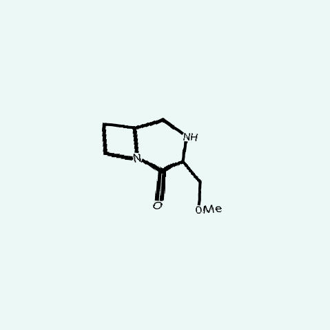 COCC1NCC2CCN2C1=O